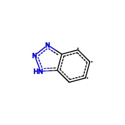 [c]1[c]cc2[nH]nnc2[c]1